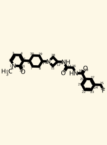 Cn1cccc(C2CCC(N3CC(NC(=O)CNC(=O)c4cccc(CF)c4)C3)CC2)c1=O